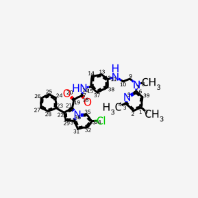 Cc1cc(C)nc(N(C)CCNc2ccc(NC(=O)C(=O)c3c(-c4ccccc4)cc4ccc(Cl)cn34)cc2)c1